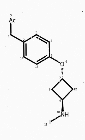 CC(=O)Cc1ccc(O[C@H]2C[C@H](NI)C2)cc1